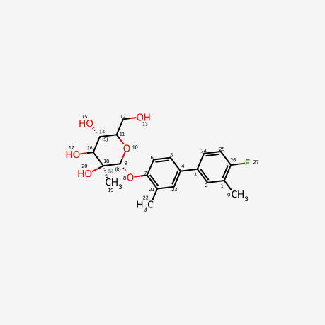 Cc1cc(-c2ccc(O[C@H]3OC(CO)[C@@H](O)C(O)[C@]3(C)O)c(C)c2)ccc1F